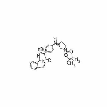 C=C(C)OC(=O)N1CC[C@@H](Nc2ccc(-c3c(CCCC)nc4c5ccccc5ccn4c3=O)cc2)C1